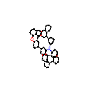 c1ccc(-c2cccc3cccc(-c4ccccc4N(c4cccc(-c5ccc6c(c5)-c5cccc7cccc(c57)O6)c4)c4cccc(-c5cccc6ccccc56)c4)c23)cc1